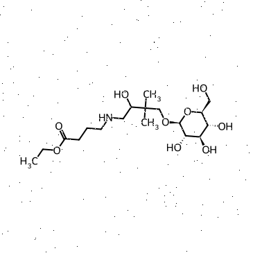 CCOC(=O)CCCNCC(O)C(C)(C)CO[C@H]1O[C@@H](CO)[C@H](O)[C@@H](O)[C@@H]1O